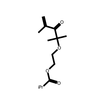 C=C(C)C(=O)C(C)(C)OCCOC(=O)C(C)C